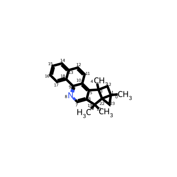 CC12CC3(C)c4c(cnc5c4ccc4ccccc45)C(C)(C)C13C2